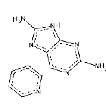 Nc1ncc2nc(N)[nH]c2n1.c1ccncc1